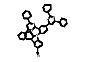 N#Cc1ccc2c(c1)c1ccccc1n2-c1ccc(-c2cc(-c3ccccc3)nc(-c3ccccc3)n2)cc1-c1nc(-c2ccccc2)cc(-c2ccccc2)n1